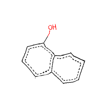 Oc1cc[c]c2ccccc12